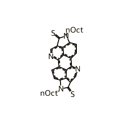 CCCCCCCCN1C(=S)c2cnc3c4ccc5c6c(cnc(c7ccc1c2c73)c64)C(=S)N5CCCCCCCC